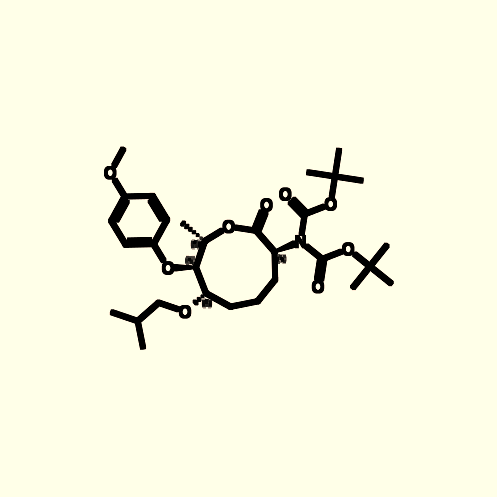 COc1ccc(O[C@H]2[C@H](C)OC(=O)[C@@H](N(C(=O)OC(C)(C)C)C(=O)OC(C)(C)C)CCC[C@@H]2OCC(C)C)cc1